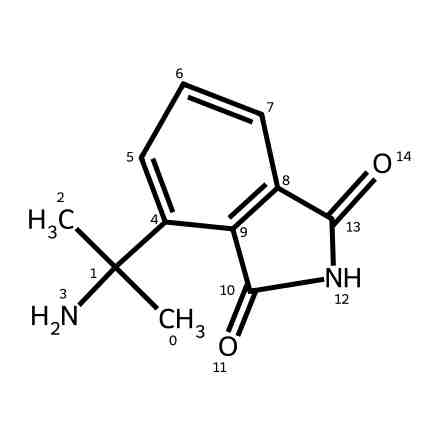 CC(C)(N)c1cccc2c1C(=O)NC2=O